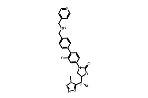 Cn1nnnc1[C@@H](S)C1CN(c2ccc(-c3ccc(CNCc4ccncc4)cc3)c(F)c2)C(=O)O1